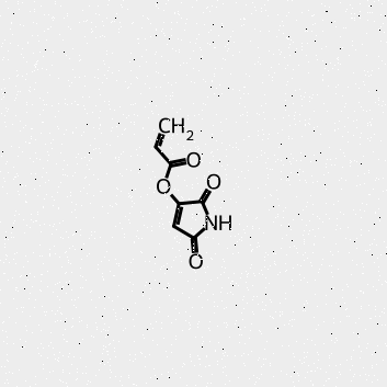 C=CC(=O)OC1=CC(=O)NC1=O